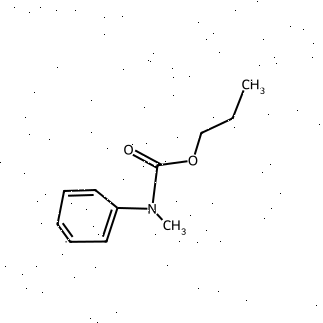 CCCOC(=O)N(C)c1c[c]ccc1